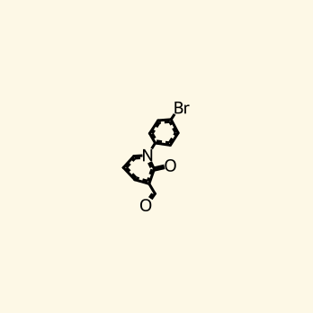 O=Cc1cccn(-c2ccc(Br)cc2)c1=O